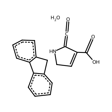 O.O=C=C1NCC=C1C(=O)O.c1ccc2c(c1)Cc1ccccc1-2